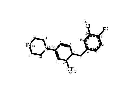 Fc1ccc(CC2C=CC(N3CCNCC3)=CC2C(F)(F)F)cc1Cl